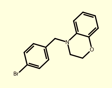 Brc1ccc(CN2CCOc3ccccc32)cc1